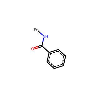 CCNC(=O)c1ccccc1